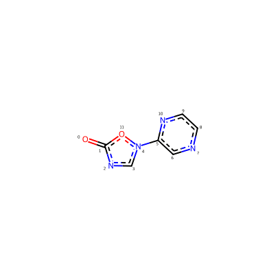 O=c1ncn(-c2cnccn2)o1